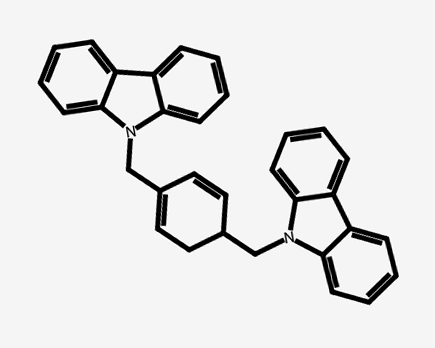 C1=CC(Cn2c3ccccc3c3ccccc32)CC=C1Cn1c2ccccc2c2ccccc21